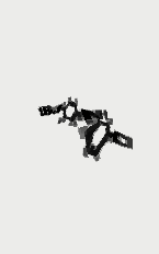 CC(C)(C)C1C=CC(Nc2cccc(Cl)c2)=CC1